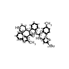 Cc1ccc(-n2nc(C(C)(C)C)cc2NC(=O)Nc2ccccc2C(C(=O)c2c(C)nc3ccccn23)C2CCNCC2)cc1